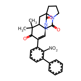 CC1(C)C(=O)C(c2cccc(-c3ccccc3)c2[N+](=O)[O-])=C[C@@]23NC(=O)C4(CCCN4C2=O)CC13